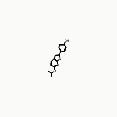 CC(C)Oc1ccc2cc(-c3ccc(O)cc3)sc2c1